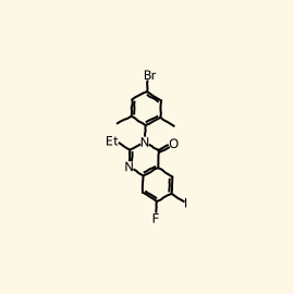 CCc1nc2cc(F)c(I)cc2c(=O)n1-c1c(C)cc(Br)cc1C